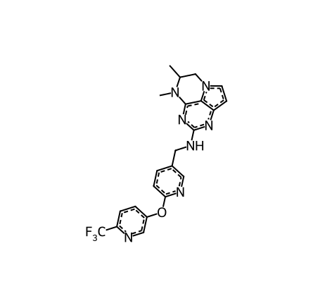 CC1Cn2ccc3nc(NCc4ccc(Oc5ccc(C(F)(F)F)nc5)nc4)nc(c32)N1C